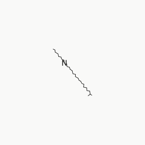 CCCCCCCCN=CCCCCCCCCCCCCCCCCC(C)C